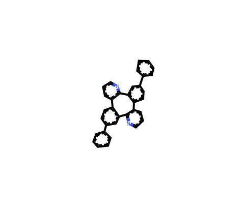 c1ccc(-c2ccc3c(c2)-c2ncccc2-c2ccc(-c4ccccc4)cc2-c2ncccc2-3)cc1